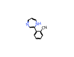 N#Cc1ccccc1C1=CN=CC=CN1